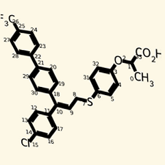 CC(Oc1ccc(SCC=C(c2ccc(Cl)cc2)c2ccc(-c3ccc(C(F)(F)F)cc3)cc2)cc1)C(=O)O